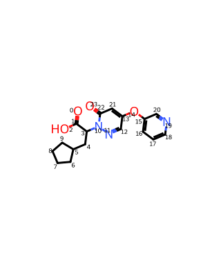 O=C(O)C(CC1CCCC1)n1ncc(Oc2cccnc2)cc1=O